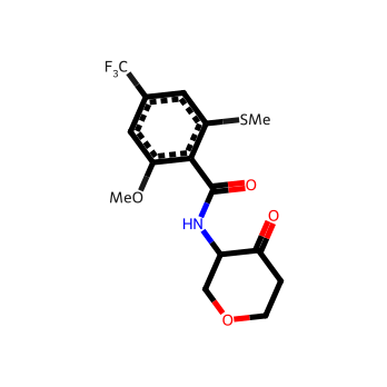 COc1cc(C(F)(F)F)cc(SC)c1C(=O)NC1COCCC1=O